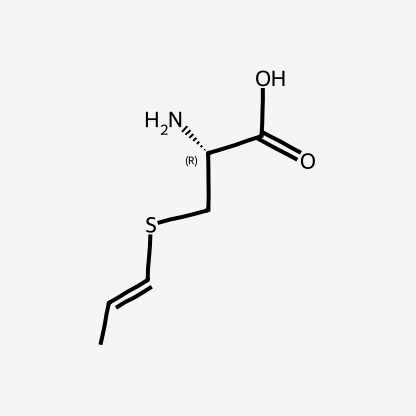 CC=CSC[C@H](N)C(=O)O